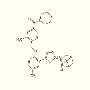 Cc1ccc(OCc2ccc(C(=O)N3CCCCC3)cc2C)c(-c2csc(N3CC4CC(C3)C4(CO)C(=O)O)n2)c1